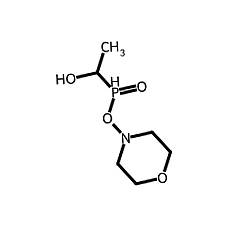 CC(O)[PH](=O)ON1CCOCC1